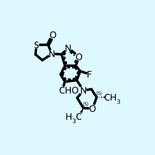 C[C@H]1CN(c2c(C=O)cc3c(N4CCSC4=O)noc3c2F)C[C@H](C)O1